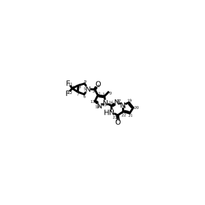 Cc1c(C(=O)N2CC3C(C2)C3(F)F)cnn1-c1nn2cccc2c(=O)[nH]1